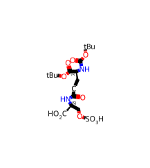 CC(C)(C)OC(=O)N[C@@H](CCC(=O)N[C@@H](COS(=O)(=O)O)C(=O)O)C(=O)OC(C)(C)C